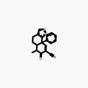 CC1C(=O)C(C#N)=CC2(c3ccccc3)c3c(cnn3C)CCC12